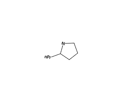 CCCC1CCC[N]1